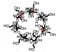 OCCO[C@@H]1[C@H]2O[C@H]3[C@@H](O)[C@H](OCCO)[C@@H](O[C@H]4[C@@H](O)[C@H](OCCO)[C@@H](O[C@H]5[C@@H](O)[C@H](OCCO)[C@@H](O[C@H]6[C@@H](O)[C@H](OCCO)[C@@H](O[C@H]7[C@@H](O)[C@H](OCCO)[C@@H](O[C@H]8[C@@H](O)[C@H](OCCO)[C@@H](O[C@@H]([C@H]1O)[C@@H](CO)O2)O[C@@H]8CO)O[C@@H]7CO)O[C@@H]6CO)O[C@@H]5CO)O[C@@H]4CO)O[C@@H]3CO